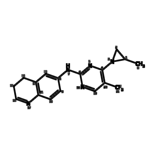 CC1CN1c1nc(Nc2ccc3c(c2)CCC=N3)ncc1C(F)(F)F